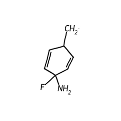 [CH2]C1C=CC(N)(F)C=C1